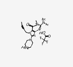 CC#CCn1c(N2CCNCC2)nc2nc(N(C(C)=O)C(C)=O)n(C)c(=O)c21.O=C(O)C(F)(F)F